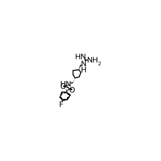 N=C(N)NC[C@H]1CC[C@H](CNS(=O)(=O)c2ccc(F)cc2)CC1